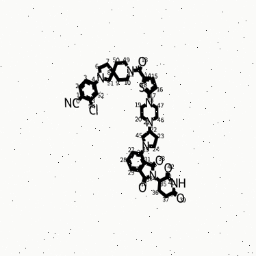 N#Cc1ccc(N2CCC3(CCN(C(=O)c4ccc(N5CCN(C6CCN(c7cccc8c7C(=O)N(C7CCC(=O)NC7=O)C8=O)C6)CC5)s4)CC3)C2)cc1Cl